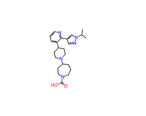 CC(C)n1cc(-c2ncccc2C2CCN(C3CCCN(C(=O)O)CC3)CC2)cn1